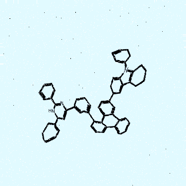 C1=CCCC(C2C=C(c3cccc(-c4cccc5c6ccccc6c6cc(C7C=c8c9c(n(C%10=CC=CCC%10)c8=CC7)CCCC9)ccc6c45)c3)N=C(c3ccccc3)N2)=C1